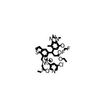 CCOC(=O)CC(c1cc(CN2C[C@@H](CC)Oc3ncc(Cl)cc3S2(=O)=O)c2sccc2c1)c1cc(OC(F)F)c2c(nnn2C)c1C